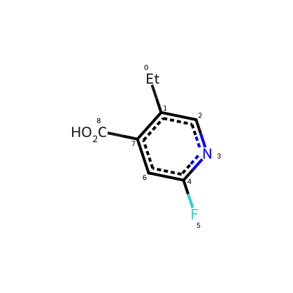 CCc1cnc(F)cc1C(=O)O